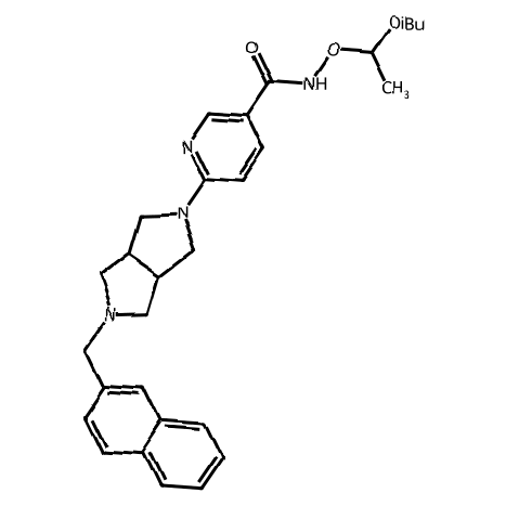 CC(C)COC(C)ONC(=O)c1ccc(N2CC3CN(Cc4ccc5ccccc5c4)CC3C2)nc1